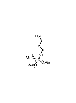 CO[Si](OC)(OC)[SH2]CCCS